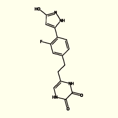 O=c1[nH]cc(CCc2ccc(-c3cc(O)n[nH]3)c(F)c2)[nH]c1=O